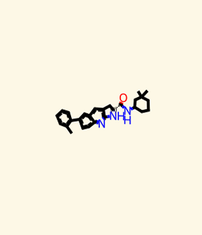 Cc1ccccc1-c1ccc2nc3c(cc2c1)C[C@H](C(=O)NC1CCCC(C)(C)C1)N3